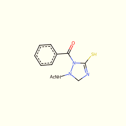 CC(=O)NN1CN=C(S)N1C(=O)c1ccccc1